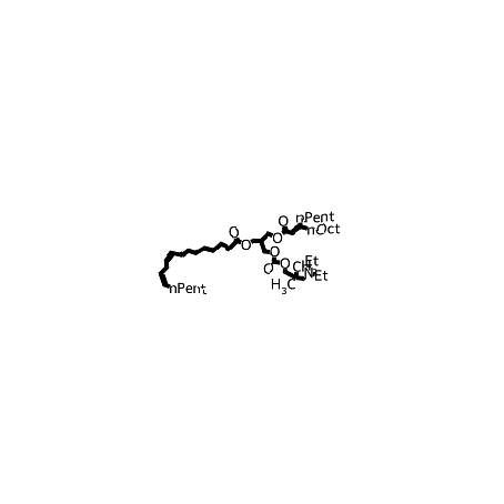 CCCCC/C=C\C/C=C\CCCCCCCC(=O)OCC(COC(=O)/C=C(\CCCCC)CCCCCCCC)COC(=O)OCC(C)(C)CN(CC)CC